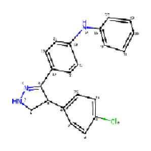 Clc1ccc(C2CNN=C2c2ccc(Nc3ccccc3)cc2)cc1